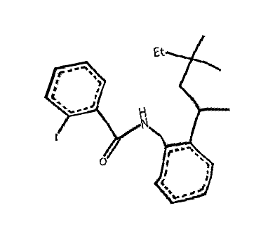 CCC(C)(C)CC(C)c1ccccc1NC(=O)c1ccccc1I